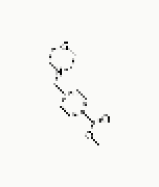 COC(=O)c1ccc(CN2CCSCC2)cc1